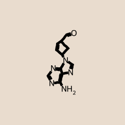 Nc1ncnc2c1ncn2C1C=CC(C=O)C1